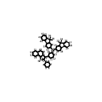 Cn1c(-c2ccccc2)c(-c2cccc(N(c3ccc4c(c3)C(C)(C)C3=CCCC=C34)c3ccc4c(c3)C(C)(C)c3ccccc3-4)c2)c2ccc3ccccc3c21